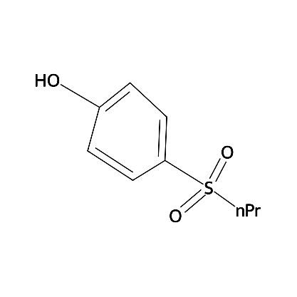 CCCS(=O)(=O)c1ccc(O)cc1